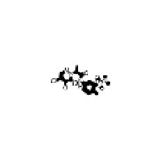 Cc1ccc(NC(=O)[C@H](C)n2ncc(Cl)c(Cl)c2=O)cc1S(=O)(=O)N(C)C